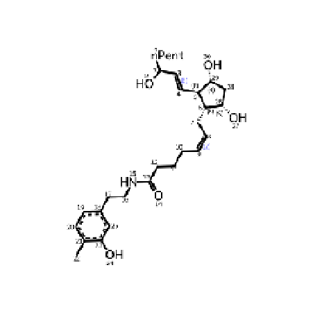 CCCCCC(O)/C=C/[C@@H]1[C@@H](C/C=C\CCCC(=O)NCCc2ccc(C)c(O)c2)[C@@H](O)C[C@H]1O